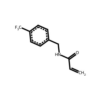 C=CC(=O)NCc1ccc(C(F)(F)F)cc1